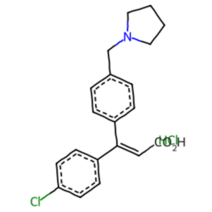 Cl.O=C(O)C=C(c1ccc(Cl)cc1)c1ccc(CN2CCCC2)cc1